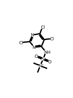 C[N+](C)(C)S(=O)(=O)Nc1nc(Cl)nc(Cl)c1Cl